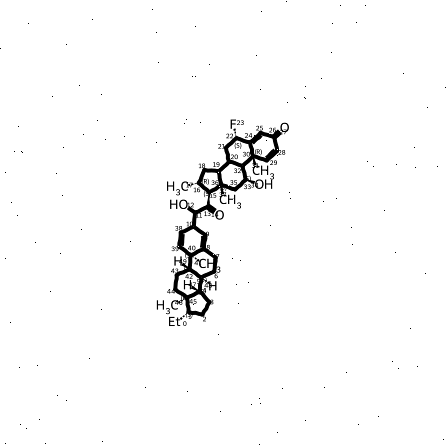 [CH2]C[C@H]1CC[C@H]2[C@@H]3CCC4=CC(C(O)C(=O)[C@H]5[C@H](C)CC6C7C[C@H](F)C8=CC(=O)C=C[C@]8(C)C7[C@@H](O)C[C@@]65C)C=C[C@]4(C)[C@H]3CC[C@]12C